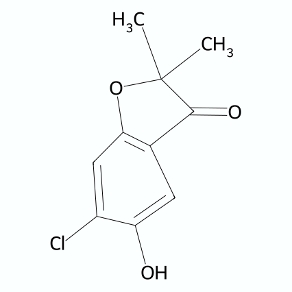 CC1(C)Oc2cc(Cl)c(O)cc2C1=O